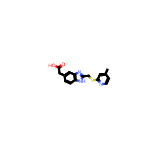 Cc1ccnc(SCc2nc3cc(CC(=O)O)ccc3[nH]2)c1